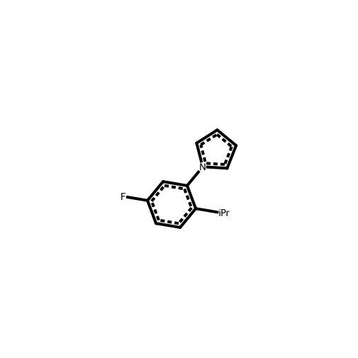 CC(C)c1ccc(F)cc1-n1cccc1